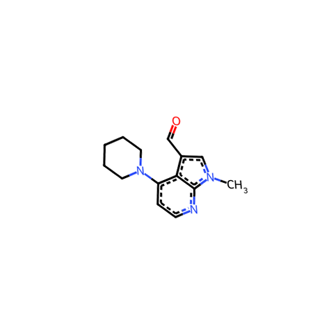 Cn1cc(C=O)c2c(N3CCCCC3)ccnc21